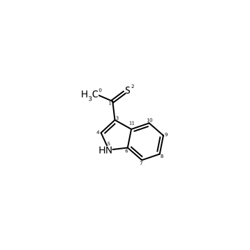 CC(=S)c1c[nH]c2ccccc12